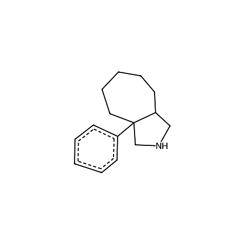 c1ccc(C23CCCCCC2CNC3)cc1